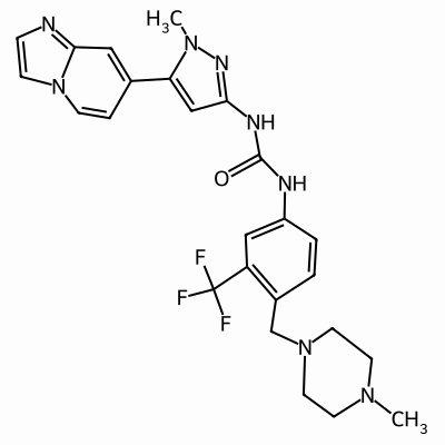 CN1CCN(Cc2ccc(NC(=O)Nc3cc(-c4ccn5ccnc5c4)n(C)n3)cc2C(F)(F)F)CC1